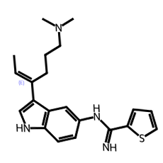 C/C=C(\CCCN(C)C)c1c[nH]c2ccc(NC(=N)c3cccs3)cc12